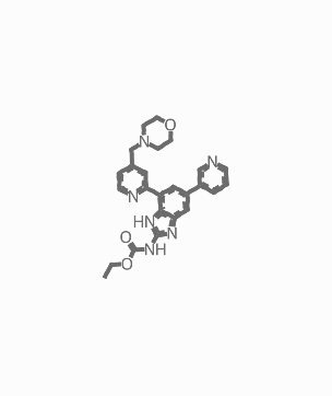 CCOC(=O)Nc1nc2cc(-c3cccnc3)cc(-c3cc(CN4CCOCC4)ccn3)c2[nH]1